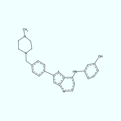 CN1CCN(Cc2ccc(-c3cc4nccc(Nc5cccc(O)c5)c4s3)cc2)CC1